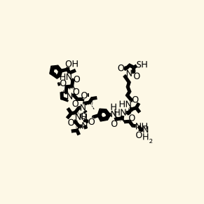 CC[C@H](C)[C@@H](C(CC(=O)N1CCC[C@H]1[C@H](OC)[C@@H](C)C(=O)NC(C)C(O)c1ccccc1)OC)N(C)C(=O)[C@@H](NC(=O)[C@H](C(C)C)N(C)C(=O)OCc1ccc(NC(=O)[C@H](CCCNC(N)=O)NC(=O)[C@@H](NC(=O)CCCCCN2C(=O)CC(S)C2=O)C(C)C)cc1)C(C)C